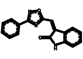 O=C1Nc2ccccc2C1=Cc1nc(-c2ccccc2)no1